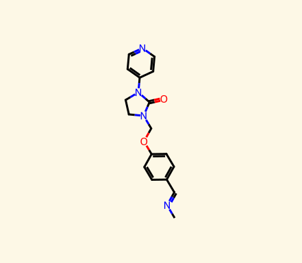 CN=Cc1ccc(OCN2CCN(c3ccncc3)C2=O)cc1